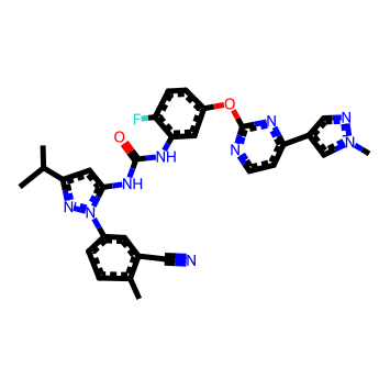 Cc1ccc(-n2nc(C(C)C)cc2NC(=O)Nc2cc(Oc3nccc(-c4cnn(C)c4)n3)ccc2F)cc1C#N